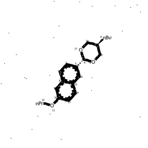 CCCC[C@H]1CO[C@H](c2ccc3cc(OCCC)ccc3c2)OC1